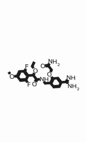 CCOC(C(=O)NCc1ccc(C(=N)N)cc1OCC(N)=O)c1c(F)cc(OC)cc1F